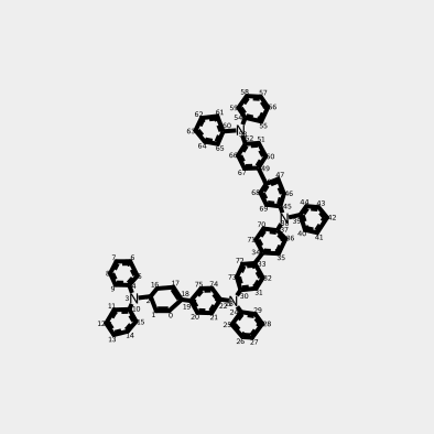 C1=CC(N(c2ccccc2)c2ccccc2)CC=C1c1ccc(N(c2ccccc2)c2ccc(-c3ccc(N(c4ccccc4)c4ccc(-c5ccc(N(c6ccccc6)c6ccccc6)cc5)cc4)cc3)cc2)cc1